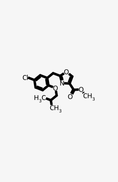 COC(=O)c1coc(Cc2cc(Cl)ccc2OCC(C)C)n1